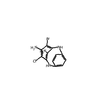 Nc1c(Cl)c2c(N)c(c1Br)Nc1ccc(cc1)N2